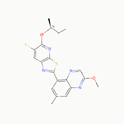 C[CH][C@H](C)Oc1nc2sc(-c3cc(C)cc4nc(OC)cnc34)nc2cc1F